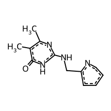 Cc1nc(NCc2ccccn2)[nH]c(=O)c1C